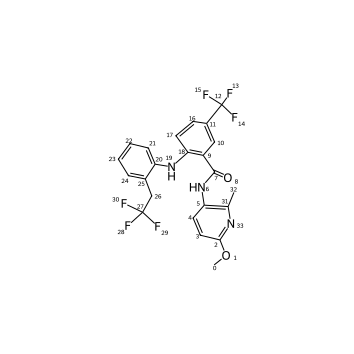 COc1ccc(NC(=O)c2cc(C(F)(F)F)ccc2Nc2ccccc2CC(F)(F)F)c(C)n1